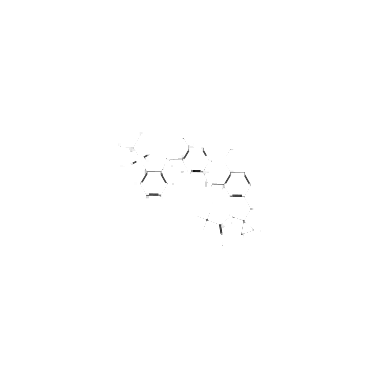 COc1ccc(CC2(NC(=O)C(F)(F)F)CC2)cc1Nc1ncc(Cl)c(Nc2ccccc2S(=O)(=O)C(C)C)n1